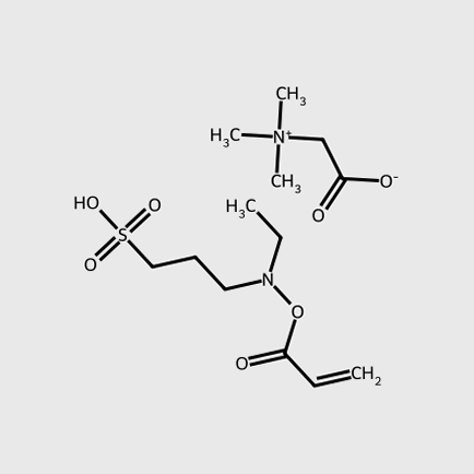 C=CC(=O)ON(CC)CCCS(=O)(=O)O.C[N+](C)(C)CC(=O)[O-]